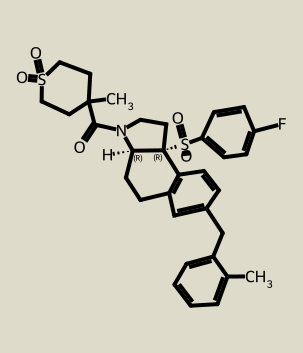 Cc1ccccc1Cc1ccc2c(c1)CC[C@H]1N(C(=O)C3(C)CCS(=O)(=O)CC3)CC[C@@]21S(=O)(=O)c1ccc(F)cc1